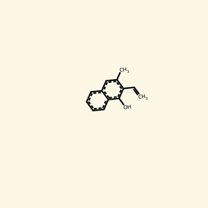 C=Cc1c(C)cc2ccccc2c1O